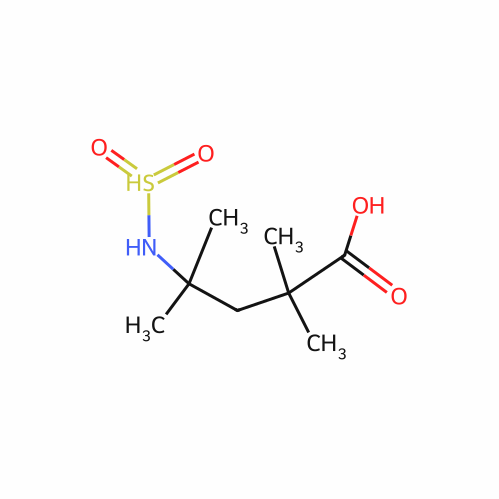 CC(C)(CC(C)(C)C(=O)O)N[SH](=O)=O